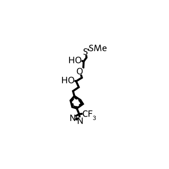 CSSCC(O)COCC(O)CCc1ccc(C2(C(F)(F)F)N=N2)cc1